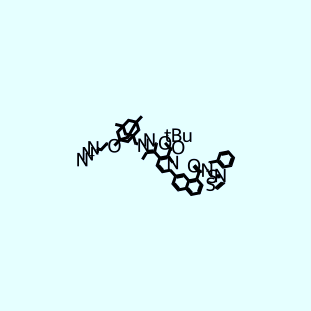 Cc1c(-c2ccc(-c3ccc4cccc(C(=O)N(Cc5ccccc5)S5=NC=CS5)c4c3)nc2C(=O)OC(C)(C)C)cnn1CC12CC3(C)CC(C)(C1)CC(OCCN=[N+]=[N-])(C3)C2